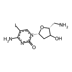 NC[C@H]1O[C@@H](n2cc(I)c(N)nc2=O)CC1O